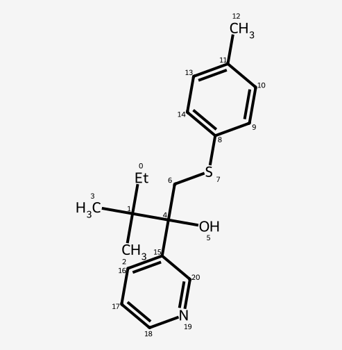 CCC(C)(C)C(O)(CSc1ccc(C)cc1)c1cccnc1